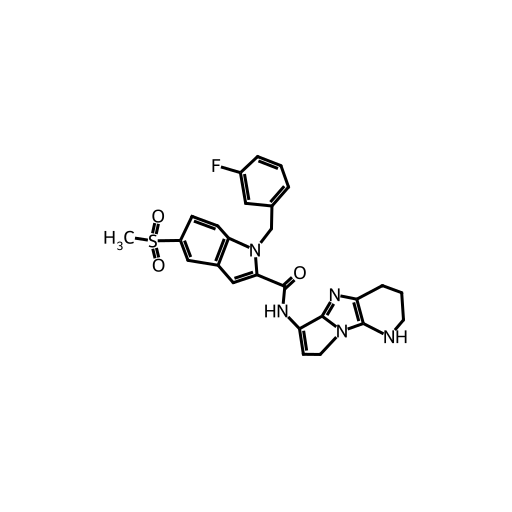 CS(=O)(=O)c1ccc2c(c1)cc(C(=O)NC1=CCn3c1nc1c3NCCC1)n2Cc1cccc(F)c1